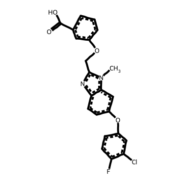 Cn1c(COc2cccc(C(=O)O)c2)nc2ccc(Oc3ccc(F)c(Cl)c3)cc21